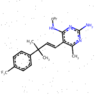 CCCNc1nc(N)nc(C)c1C=CC(C)(C)c1ccc(C(F)(F)F)cc1